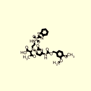 COc1ccc(COC(=O)Nc2ccn(N(CCNS(=O)(=O)c3nc4ccccc4s3)C(C(C)=O)C(=O)O)c(=O)n2)cc1OC